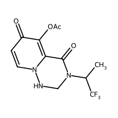 CC(=O)Oc1c2n(ccc1=O)NCN(C(C)C(F)(F)F)C2=O